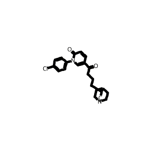 O=C(CCCC1CN2CCC1CC2)c1ccc(=O)n(-c2ccc(Cl)cc2)c1